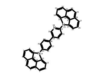 c1cc2ccc3cccc4c3c2c(c1)n4-c1ccc(-c2ccc(-n3c4cccc5ccc6cccc3c6c54)nc2)cc1